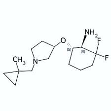 CC1(CN2CCC(O[C@H]3CCCC(F)(F)[C@@H]3N)C2)CC1